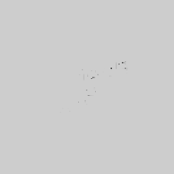 CC(C)(C)c1ccc(Oc2ccc(-c3ccc(Cc4nc(-c5ccc(Cl)cc5Cl)cn4-c4ccc(C(=O)NS(C)(=O)=O)cc4)cc3)cc2)cc1